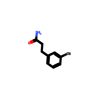 N#Cc1cccc(CCC(N)=O)c1